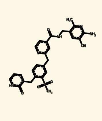 Cc1nc(N)c(C#N)cc1CNC(=O)c1ccnc(Cc2ccc(Cc3ccc[nH]c3=O)c(S(C)(=O)=O)c2)c1